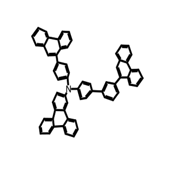 c1cc(-c2ccc(N(c3ccc(-c4cc5ccccc5c5ccccc45)cc3)c3ccc4c5ccccc5c5ccccc5c4c3)cc2)cc(-c2cc3ccccc3c3ccccc23)c1